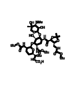 CN[C@@H]1[C@@H](O)[C@@H](O[C@@H]2[C@@H](O)[C@H](O[C@H]3O[C@H](C(NC(=O)O)C(C)(C)C)CC[C@H]3NC(=O)OC(C)(C)C)[C@@H](NC(=O)OC(C)(C)C)C[C@H]2NC(=O)[C@H]2OC(C)(C)O[C@@H]2CNC(=O)OC(C)(C)C)OC[C@]1(C)O